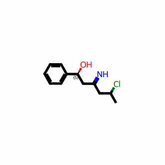 CC(Cl)CC(=N)C[C@H](O)c1ccccc1